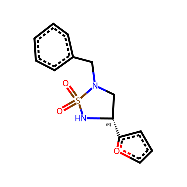 O=S1(=O)N[C@@H](c2ccco2)CN1Cc1ccccc1